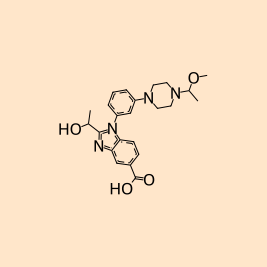 COC(C)N1CCN(c2cccc(-n3c(C(C)O)nc4cc(C(=O)O)ccc43)c2)CC1